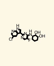 O[C@H]1[C@H](O)CCC[C@@H]1Nc1nc(-c2c[nH]c3ncc(Cl)cc23)ncc1F